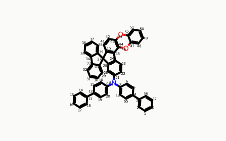 c1ccc(-c2ccc(N(c3ccc(-c4ccccc4)cc3)c3ccc4c(c3)C3(c5ccccc5-c5ccccc53)c3ccc5c(c3-4)Oc3ccccc3O5)cc2)cc1